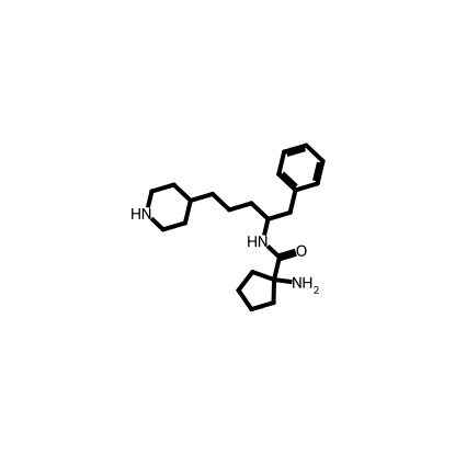 NC1(C(=O)NC(CCCC2CCNCC2)Cc2ccccc2)CCCC1